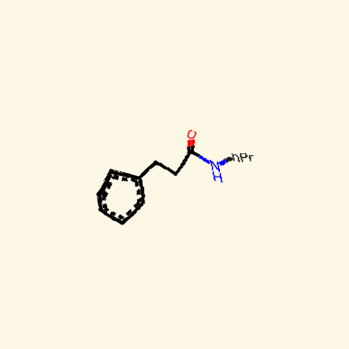 [CH2]CCNC(=O)CCc1ccccc1